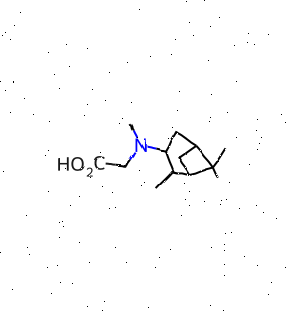 CC1C(N(C)CC(=O)O)CC2CC1C2(C)C